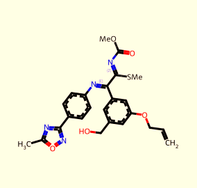 C=CCOc1cc(CO)cc(C(=N\c2ccc(-c3noc(C)n3)cc2)/C(=N/C(=O)OC)SC)c1